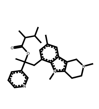 Cc1cc(CC(C)(OC(=O)C(C)C(C)C)c2cccnc2)c2c(c1)c1c(n2C)CCN(C)C1